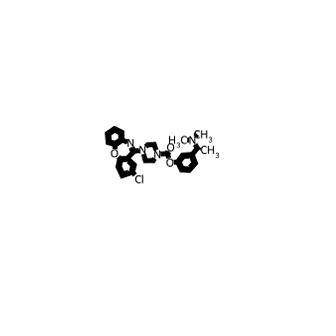 C[C@@H](c1cccc(OC(=O)N2CCN(C3=Nc4ccccc4Oc4ccc(Cl)cc43)CC2)c1)N(C)C